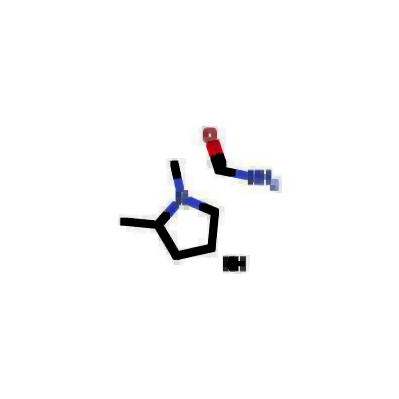 CC1CCCN1C.NC=O.[KH]